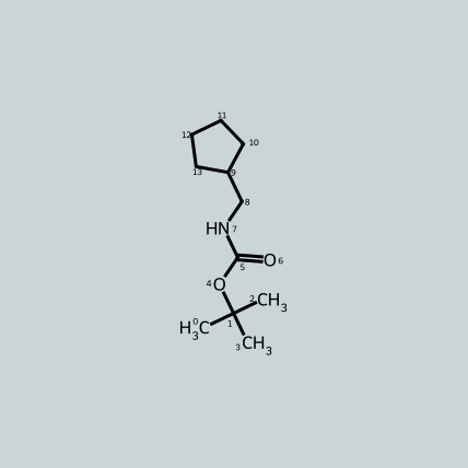 CC(C)(C)OC(=O)NCC1CCCC1